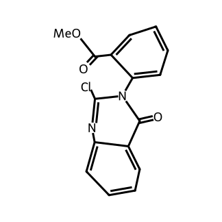 COC(=O)c1ccccc1-n1c(Cl)nc2ccccc2c1=O